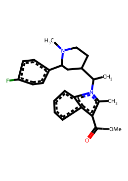 COC(=O)c1c(C)n(C(C)C2CCN(C)C(c3ccc(F)cc3)C2)c2ccccc12